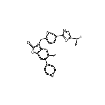 O=c1oc2cc(-c3ccncc3)c(F)cc2n1Cc1ccc(-c2nnc(C(F)F)o2)cn1